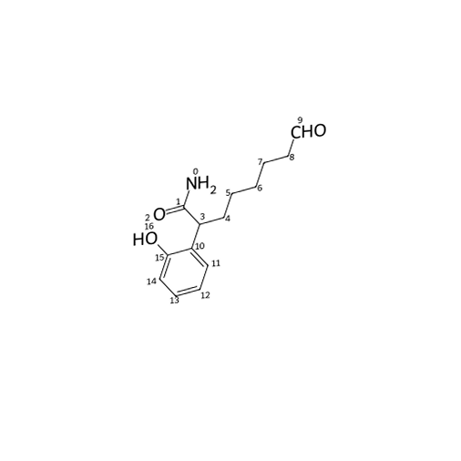 NC(=O)C(CCCCCC=O)c1ccccc1O